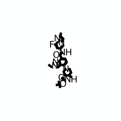 CCn1cc2c(N3CCC(C)(NC(=O)OC(C)(C)C)CC3)ccc(C(=O)Nc3cc(F)c4nc(C)cn4c3)c2n1